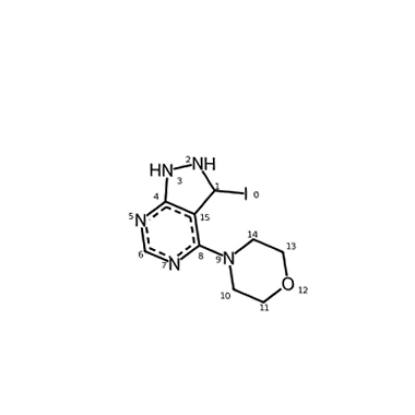 IC1NNc2ncnc(N3CCOCC3)c21